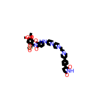 CCOc1cc([C@@H](CS(C)(=O)=O)N2C(=O)c3ccc(NC4CCN(C5CCN(CCCN6CCC(c7ccc(C8CCC(=O)NC8=O)cc7)CC6)CC5)CC4)cc3C2=O)ccc1OC